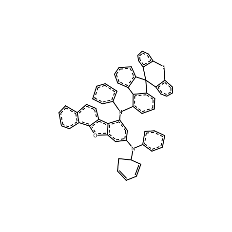 C1=CCC(N(c2ccccc2)c2cc(N(c3ccccc3)c3cccc4c3-c3ccccc3C43c4ccccc4Sc4ccccc43)c3c(c2)oc2c4ccccc4ccc23)C=C1